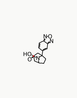 O=CN1C2CCC1(c1ccc3nonc3c1)CC(O)C2